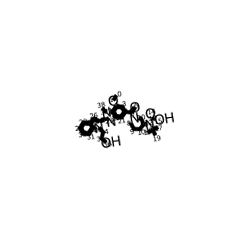 COc1cc(C(=O)N2CCCC(N(C(=O)O)C(C)(C)C)C2)cc2nc(-c3cc4ccccc4n3CCO)n(C)c12